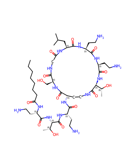 CCCCCCCC(=O)N[C@@H](CCN)C(=O)N[C@H](C(=O)N[C@@H](CCN)C(=O)N[C@H]1CCNC(=O)[C@H]([C@@H](C)O)NC(=O)[C@H](CCN)NC(=O)[C@H](CCN)NC(=O)[C@H](CC(C)C)NC(=O)CNC(=O)[C@H](CO)NC1=O)[C@@H](C)O